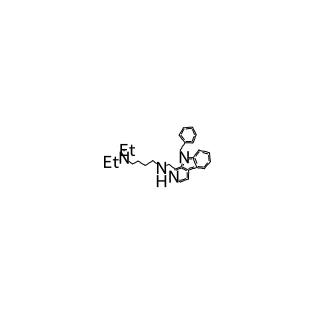 CCN(CC)CCCCNCc1nccc2c3ccccc3n(Cc3ccccc3)c12